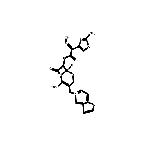 Nc1nc(C(=NO)C(=O)NC2C(=O)N3C(C(=O)[O-])=C(C[n+]4ccc5occc5c4)CS[C@@H]23)cs1